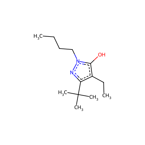 CCCCn1nc(C(C)(C)C)c(CC)c1O